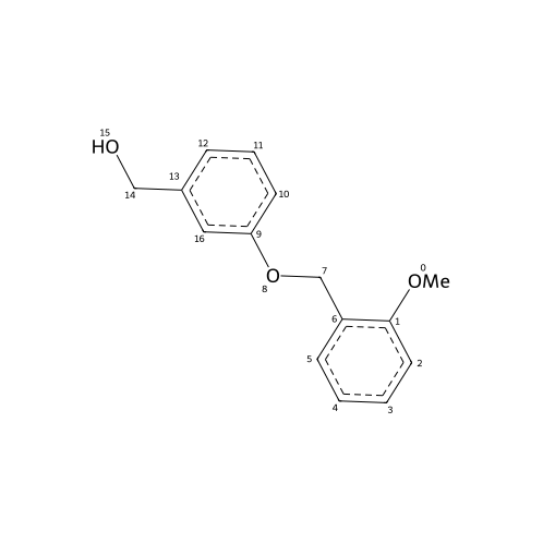 COc1ccccc1COc1cccc(CO)c1